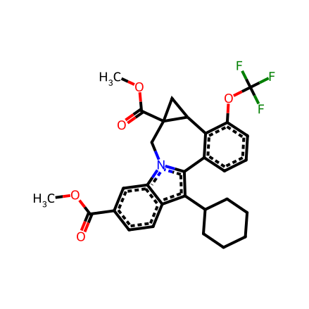 COC(=O)c1ccc2c(C3CCCCC3)c3n(c2c1)CC1(C(=O)OC)CC1c1c(OC(F)(F)F)cccc1-3